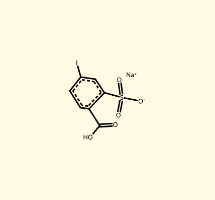 O=C(O)c1ccc(I)cc1S(=O)(=O)[O-].[Na+]